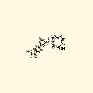 C/C(=C\c1cc(F)cc(N2CCN(C(=O)[C@@H](C)O)CC2)c1)[C@H]1OC(=O)C[C@H](O)CC[C@H](C)C/C=C/[C@@H]1C